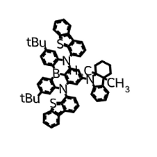 CC(C)(C)c1ccc2c(c1)N(c1cccc3c1sc1ccccc13)c1cc(N3c4ccccc4C4(C)CCCCC34C)cc3c1B2c1ccc(C(C)(C)C)cc1N3c1cccc2c1sc1ccccc12